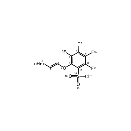 CCCCCCC=COc1c(F)c(F)c(F)c(F)c1S(=O)(=O)Cl